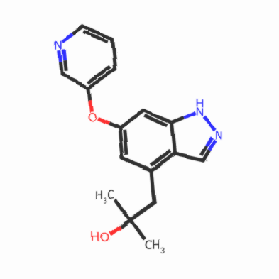 CC(C)(O)Cc1cc(Oc2cccnc2)cc2[nH]n[c]c12